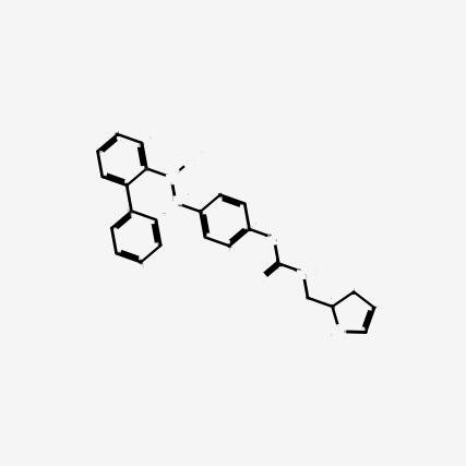 O=C(NCC1CC=CO1)Nc1ccc(N[S+]([O-])c2ccccc2-c2ccccc2)cc1